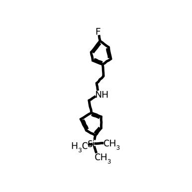 C[Si](C)(C)c1ccc(CNCCc2ccc(F)cc2)cc1